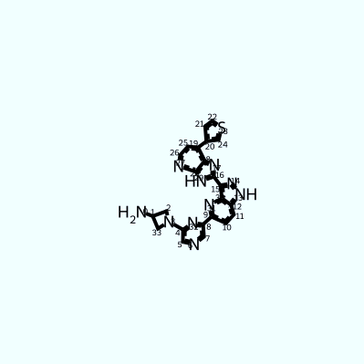 NC1CN(c2cncc(-c3ccc4[nH]nc(-c5nc6c(-c7ccsc7)ccnc6[nH]5)c4n3)n2)C1